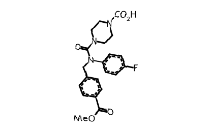 COC(=O)c1ccc(CN(C(=O)N2CCN(C(=O)O)CC2)c2ccc(F)cc2)cc1